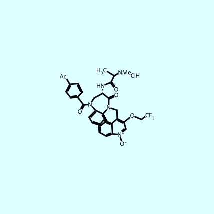 CNC(C)C(=O)N[C@H]1CN(C(=O)c2ccc(C(C)=O)cc2)c2ccccc2N(Cc2c(OCC(F)(F)F)c[n+]([O-])c3ccccc23)C1=O.Cl